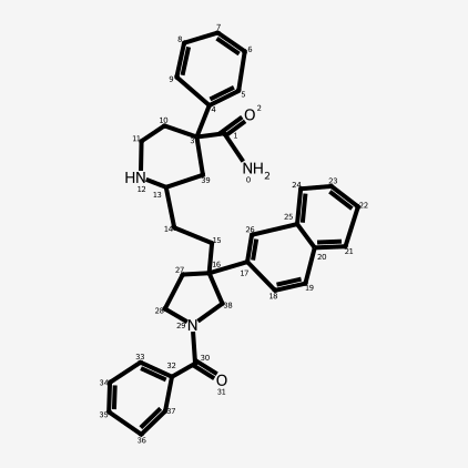 NC(=O)C1(c2ccccc2)CCNC(CCC2(c3ccc4ccccc4c3)CCN(C(=O)c3ccccc3)C2)C1